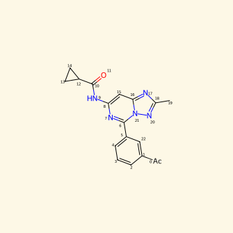 CC(=O)c1cccc(-c2nc(NC(=O)C3CC3)cc3nc(C)nn23)c1